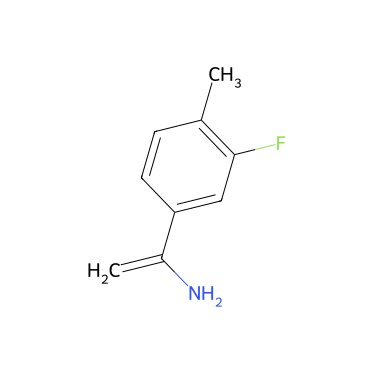 C=C(N)c1ccc(C)c(F)c1